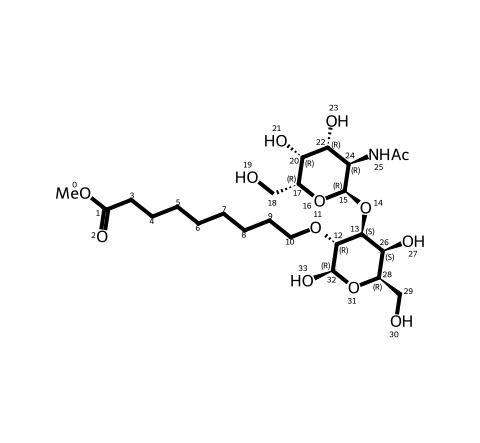 COC(=O)CCCCCCCCO[C@@H]1[C@@H](O[C@H]2O[C@H](CO)[C@H](O)[C@H](O)[C@H]2NC(C)=O)[C@@H](O)[C@@H](CO)O[C@H]1O